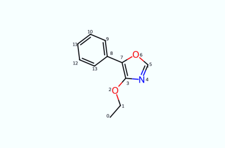 CCOc1n[c]oc1-c1ccccc1